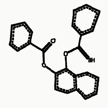 B=C(Oc1c(OC(=O)c2ccccc2)ccc2ccccc12)c1ccccc1